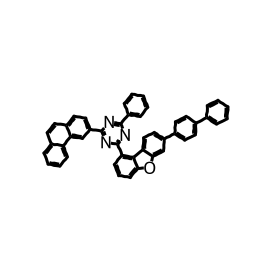 c1ccc(-c2ccc(-c3ccc4c(c3)oc3cccc(-c5nc(-c6ccccc6)nc(-c6ccc7ccc8ccccc8c7c6)n5)c34)cc2)cc1